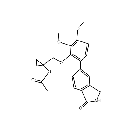 COc1ccc(-c2ccc3c(c2)CNC3=O)c(OCC2(OC(C)=O)CC2)c1OC